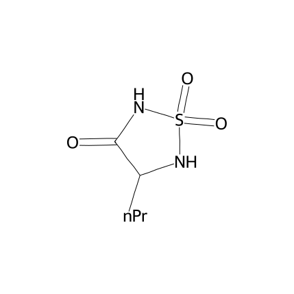 CCCC1NS(=O)(=O)NC1=O